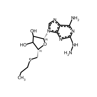 CCCSC[C@H]1O[C@@H](n2cnc3c(N)nc(NN)nc32)C(O)C1O